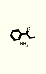 CCC(=O)c1ccccc1.N